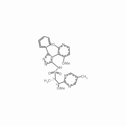 COc1ccnc(O)c1-n1c(NS(=O)(=O)[C@@H](C)[C@H](OC)c2ncc(C)cn2)nnc1C1=C=C=CC=C1